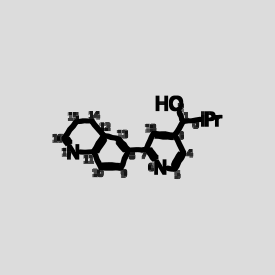 CC(C)C(O)c1ccnc(-c2ccc3c(c2)CCC=N3)c1